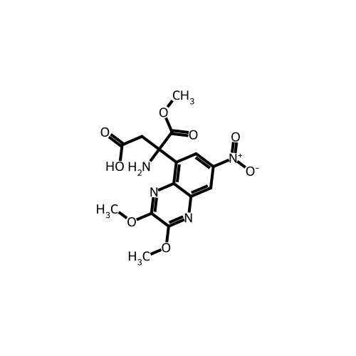 COC(=O)C(N)(CC(=O)O)c1cc([N+](=O)[O-])cc2nc(OC)c(OC)nc12